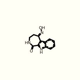 O=C1NCCC(=NO)c2c1[nH]c1ccccc21